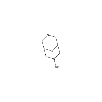 CC(=O)N1CC2C[N]CC(C1)O2